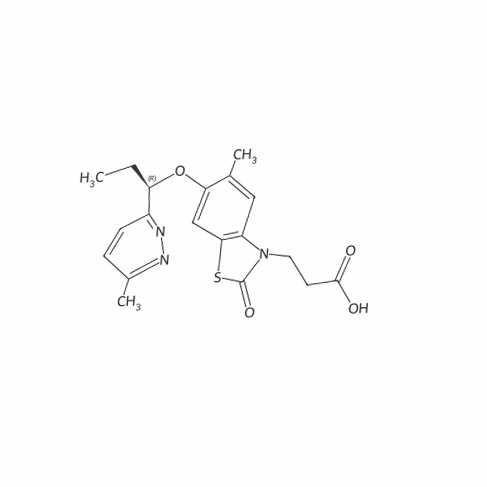 CC[C@@H](Oc1cc2sc(=O)n(CCC(=O)O)c2cc1C)c1ccc(C)nn1